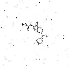 CN(C(=O)O)c1nc2cc(C(=O)c3ccncc3)ccc2[nH]1